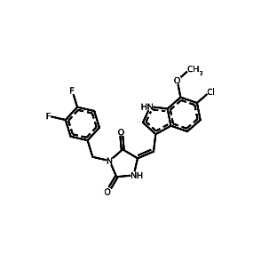 COc1c(Cl)ccc2c(C=C3NC(=O)N(Cc4ccc(F)c(F)c4)C3=O)c[nH]c12